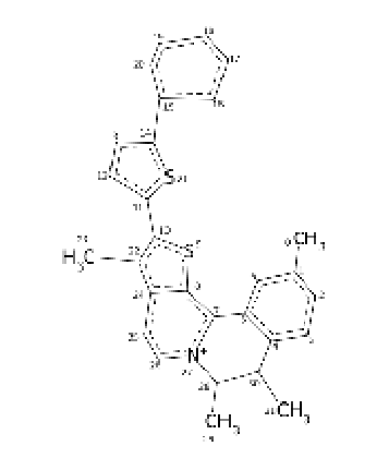 Cc1ccc2c(c1)-c1c3sc(-c4ccc(-c5ccccc5)s4)c(C)c3cc[n+]1C(C)C2C